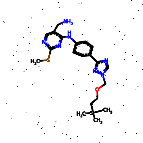 CSc1ncc(CN)c(Nc2ccc(-c3ncn(COCC[Si](C)(C)C)n3)cc2)n1